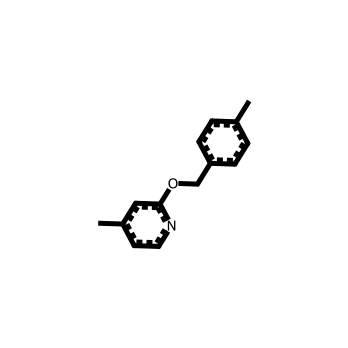 Cc1ccc(COc2cc(C)ccn2)cc1